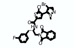 Cn1ncc(Br)c1-c1cc(C(=O)N[C@@H](Cc2cccc(F)c2)CN2C(=O)c3ccccc3C2=O)sc1Cl